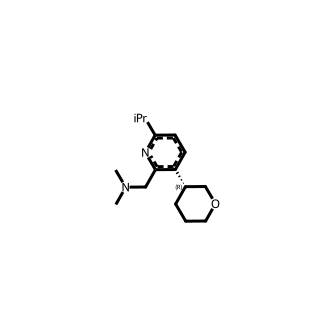 CC(C)c1ccc([C@H]2CCCOC2)c(CN(C)C)n1